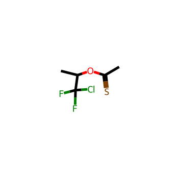 CC(=S)OC(C)C(F)(F)Cl